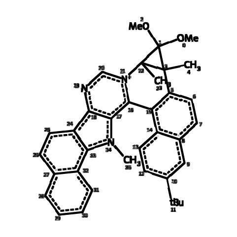 COC1(OC)C2(C)c3ccc4cc(C(C)(C)C)ccc4c3-c3c4c(nc[n+]3C12C)c1ccc2ccccc2c1n4C